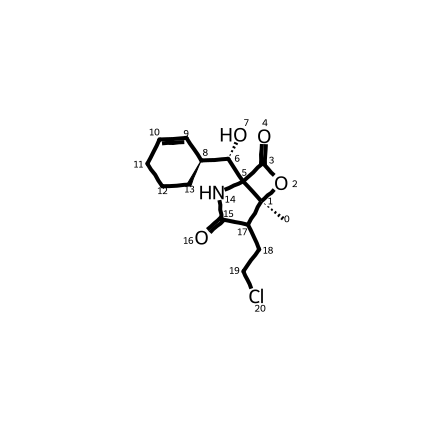 C[C@@]12OC(=O)C1([C@@H](O)[C@@H]1C=CCCC1)NC(=O)C2CCCl